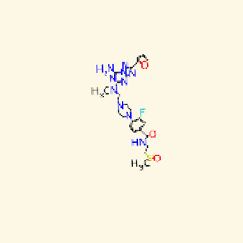 CN(CCN1CCN(c2ccc(C(=O)NCC[S+](C)[O-])cc2F)CC1)c1nc(N)n2nc(-c3ccco3)nc2n1